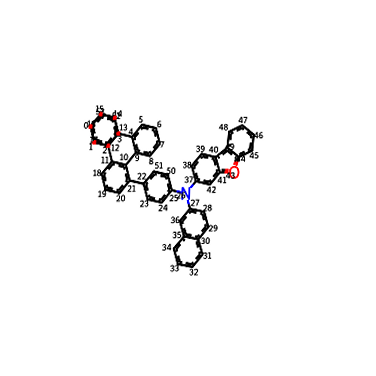 c1ccc(-c2ccccc2-c2c(-c3ccccc3)cccc2-c2ccc(N(c3ccc4ccccc4c3)c3ccc4c(c3)oc3ccccc34)cc2)cc1